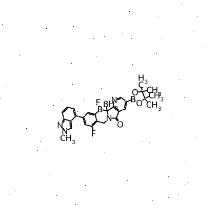 BC12B(F)c3cc(-c4cccc5nn(C)cc45)cc(F)c3CN1C(=O)c1cc(B3OC(C)(C)C(C)(C)O3)cnc12